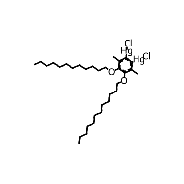 CCCCCCCCCCCCOc1c(C)[c]([Hg][Cl])[c]([Hg][Cl])c(C)c1OCCCCCCCCCCCC